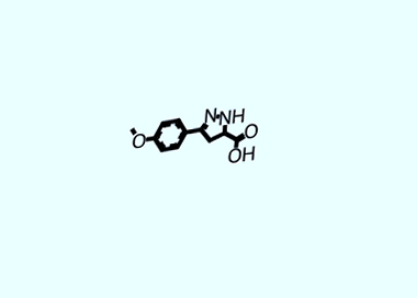 COc1ccc(C2=NNC(C(=O)O)C2)cc1